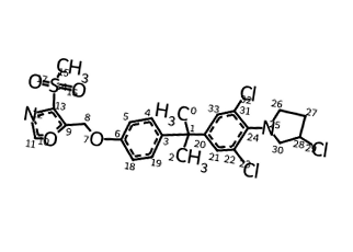 CC(C)(c1ccc(OCc2ocnc2S(C)(=O)=O)cc1)c1cc(Cl)c(N2CCC(Cl)C2)c(Cl)c1